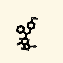 COc1ccc(CC(c2ccccc2)c2nc3c(C(C)C)n[nH]c3c(=O)[nH]2)cc1